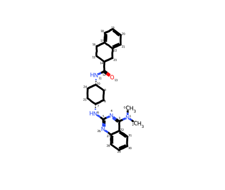 CN(C)c1nc(N[C@H]2CC[C@@H](NC(=O)C3CCc4ccccc4C3)CC2)nc2ccccc12